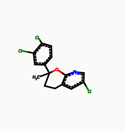 CC1(c2ccc(Cl)c(Cl)c2)CCc2cc(Cl)cnc2O1